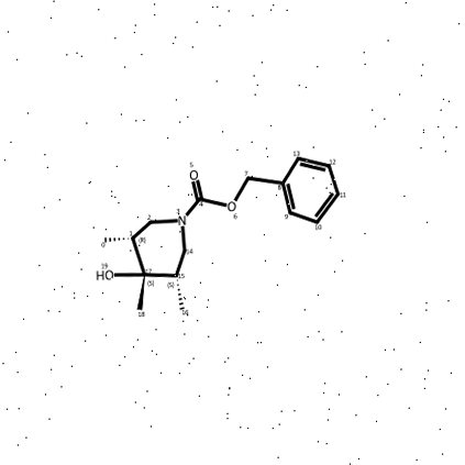 C[C@@H]1CN(C(=O)OCc2ccccc2)C[C@H](C)[C@]1(C)O